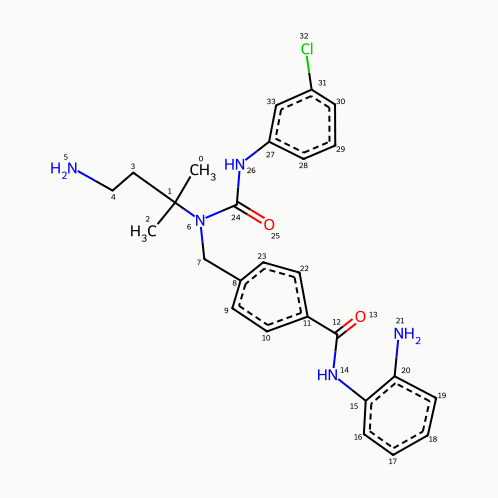 CC(C)(CCN)N(Cc1ccc(C(=O)Nc2ccccc2N)cc1)C(=O)Nc1cccc(Cl)c1